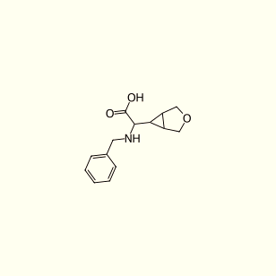 O=C(O)C(NCc1ccccc1)C1C2COCC21